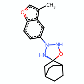 Cc1coc2ccc(N3NO[C@]4(CC5CCC4CC5)N3)cc12